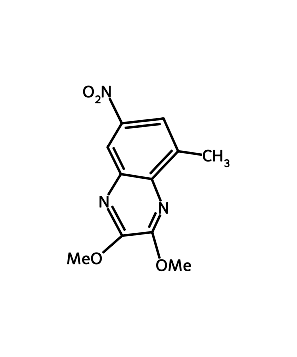 COc1nc2cc([N+](=O)[O-])cc(C)c2nc1OC